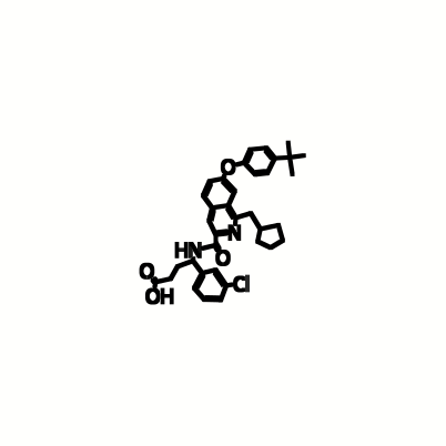 CC(C)(C)c1ccc(Oc2ccc3cc(C(=O)NC(CCC(=O)O)c4cccc(Cl)c4)nc(CC4CCCC4)c3c2)cc1